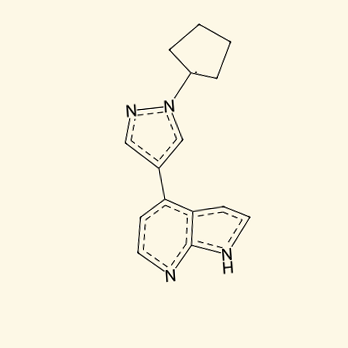 c1cc(-c2cnn([C]3CCCC3)c2)c2cc[nH]c2n1